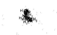 CCCCc1nn(-c2nc(-n3nc(CCCC)c(/N=N/c4c(C(=O)O)cnn4C)c3N)c(C#N)c(C)c2C#N)c(N)c1/N=N/c1c(C(C)=O)cnn1C